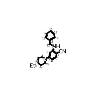 CCN1CCN(c2ccc(C#N)c(NCc3ccccc3)c2)CC1